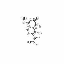 CC(=O)N1COc2c1ccc1c(CO)cc(=O)n(C)c21